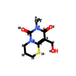 CCCn1c(=O)c(CO)c2n(c1=O)CCCS2